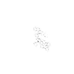 CC1(C)CCC(C)(C)c2cc3c(cc21)c1ccc2ccccc2c1n3-c1cccc(-c2nc(-c3ccccc3)nc(-c3cccc(C4(c5ccccc5)c5ccccc5-c5ccccc54)c3)n2)c1